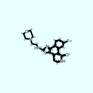 O=c1[nH]ccc2c3sc(NCCN4CCOCC4)nc3c3ccc(F)cc3c12